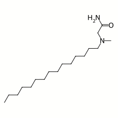 CCCCCCCCCCCCCCCN(C)CC(N)=O